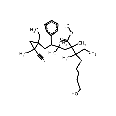 CCC1(CC(c2ccccc2)C(C)(C)CC(C)(C(=O)OC)C(C)(CC)SCCCCO)CC1(C)C#N